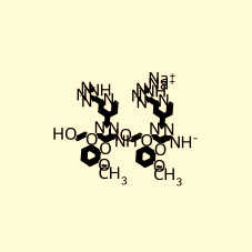 COc1ccccc1Oc1c([NH-])nc(-c2ccnc(-c3nnn[nH]3)c2)nc1OCCO.COc1ccccc1Oc1c([NH-])nc(-c2ccnc(-c3nnn[nH]3)c2)nc1OCCO.[Na+].[Na+]